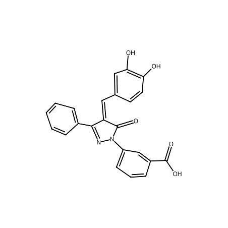 O=C(O)c1cccc(N2N=C(c3ccccc3)C(=Cc3ccc(O)c(O)c3)C2=O)c1